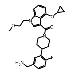 COCCn1cc(C(=O)N2CCC(c3cc(CN)ccc3F)CC2)c2c(OC3CC3)cccc21